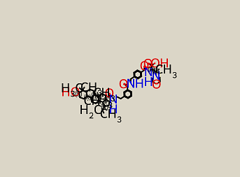 C=C(C)[C@@H]1CC[C@]2(C(=O)NCCc3cccc(C(=O)NCc4ccc(C(=O)N[C@@H](C(=O)O)[C@@H](C)N5CCOCC5)cc4)c3)CC[C@]3(C)C(CCC4[C@@]5(C)CC[C@H](O)C(C)(C)C5CC[C@]43C)C12